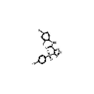 O=C(Nc1ccc(F)cc1F)c1nnsc1S(=O)(=O)c1ccc(Cl)cc1